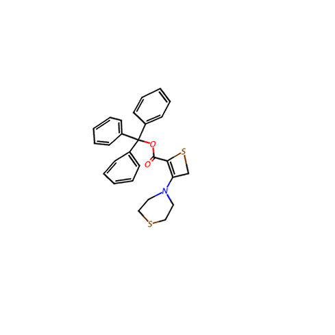 O=C(OC(c1ccccc1)(c1ccccc1)c1ccccc1)C1=C(N2CCSCC2)CS1